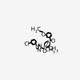 CCCOc1cccc(C(=O)N2CCN(C(=O)c3ncn(-c4cccc(Cl)c4)n3)C(C)(C)C2)c1